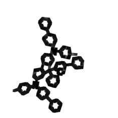 Cc1ccc(N(c2ccc(-c3ccccc3)cc2)c2ccc3c(c2)C(c2ccccc2)(c2ccc(-c4ccccc4)cc2)c2cc(N(c4ccc(C)cc4)c4ccc(-c5ccccc5)cc4)ccc2-3)cc1